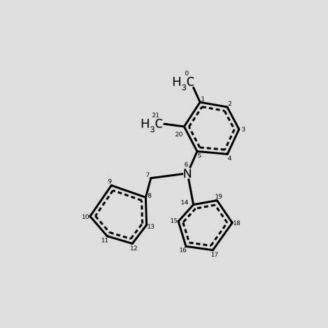 Cc1cccc(N(Cc2ccccc2)c2ccccc2)c1C